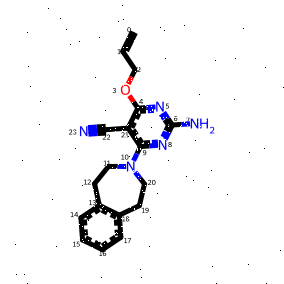 C=CCOc1nc(N)nc(N2CCc3ccccc3CC2)c1C#N